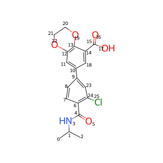 CC(C)NC(=O)c1ccc(-c2cc3c(c(C(=O)O)c2)OCCO3)cc1Cl